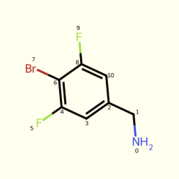 NCc1cc(F)c(Br)c(F)c1